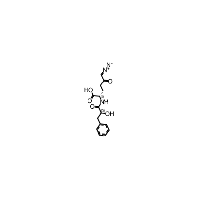 [N-]=[N+]=CC(=O)CC[C@H](NC(=O)[C@@H](O)Cc1ccccc1)C(=O)O